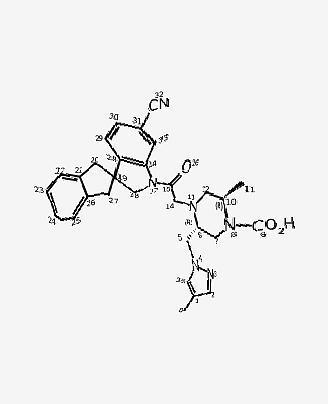 Cc1cnn(C[C@H]2CN(C(=O)O)[C@H](C)CN2CC(=O)N2CC3(Cc4ccccc4C3)c3ccc(C#N)cc32)c1